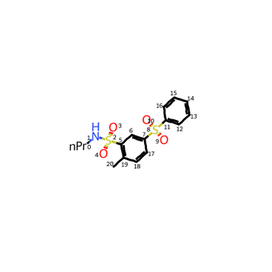 CCCNS(=O)(=O)c1cc(S(=O)(=O)c2ccccc2)ccc1C